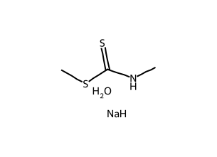 CNC(=S)SC.O.[NaH]